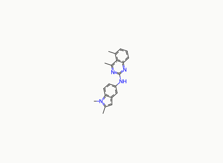 Cc1cccc2nc(Nc3ccc4c(c3)cc(C)n4C)nc(C)c12